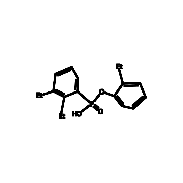 CCc1ccccc1OP(=O)(O)c1cccc(CC)c1CC